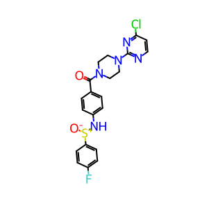 O=C(c1ccc(N[S+]([O-])c2ccc(F)cc2)cc1)N1CCN(c2nccc(Cl)n2)CC1